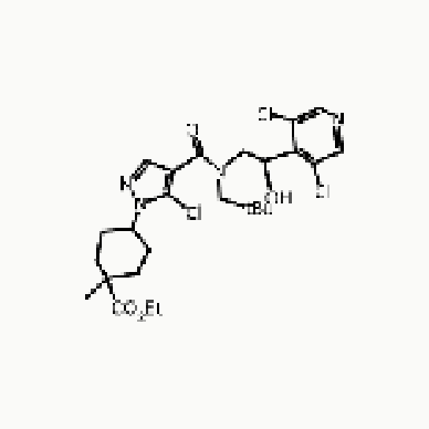 CCOC(=O)C1(C)CCC(n2ncc(C(=O)N(CC(O)c3c(Cl)cncc3Cl)CC(C)(C)C)c2Cl)CC1